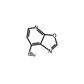 CC(C)(C)c1ccnc2ocnc12